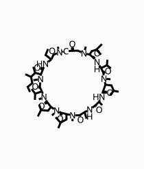 CCCC(C)C(C)C1C(=O)NC(CC)C(=O)N(C)CC(=O)CN(C)C(CC(C)C)C(=O)NC(C(C)C)C(=O)N(C)C(CC(C)C)C(=O)NC(C)C(=O)NC(C)C(=O)N(C)C(CC(C)C)C(=O)N(C)C(CC(C)C)C(=O)N(C)C(C(C)C)C(=O)N1C